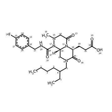 CCCCC(CC)CN1C[C@H]2N(C(=O)CN(C)N2C(=O)NCc2ccc(F)cc2)[C@@H](CCC(=O)O)C1=O